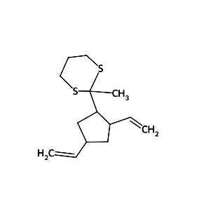 C=CC1CC(C=C)C(C2(C)SCCCS2)C1